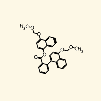 COCOc1ccc(OC(=O)c2ccccc2-c2ccc(OCOC)c3ccccc23)c2cc#ccc12